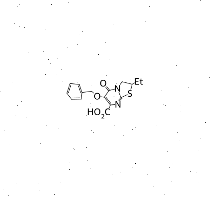 CCC1Cn2c(nc(C(=O)O)c(OCc3ccccc3)c2=O)S1